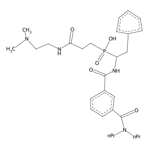 CCCN(CCC)C(=O)c1cccc(C(=O)NC(Cc2ccccc2)P(=O)(O)CCC(=O)NCCN(C)C)c1